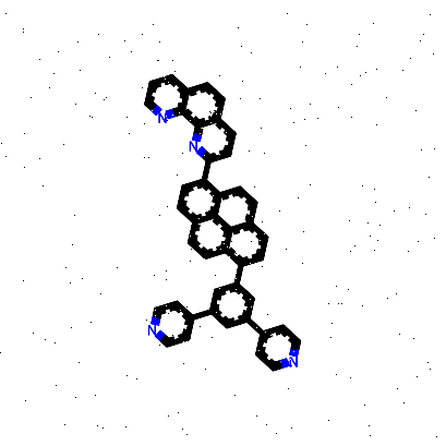 c1cnc2c(c1)ccc1ccc(-c3ccc4ccc5c(-c6cc(-c7ccncc7)cc(-c7ccncc7)c6)ccc6ccc3c4c65)nc12